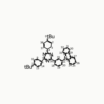 CC(C)(C)C1=CCC(c2nc(-c3ccc(C(C)(C)C)cc3)nc(-c3cccc(-n4c5ccccc5c5ccccc54)c3)n2)C=C1